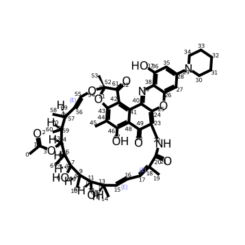 CC(=O)O[C@H]1[C@H](C)[C@H](O)[C@H](C)[C@@H](O)[C@@H](C)/C=C/C=C(/C)C(=O)Nc2c3oc4cc(N5CCCCC5)cc(O)c4nc-3c3c4c(c(C)c(O)c3c2=O)O[C@](C)(O/C=C/[C@H](C)[C@H]1C)C4=O